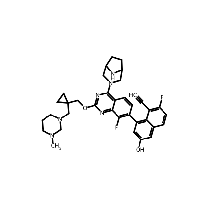 C#Cc1c(F)ccc2cc(O)cc(-c3ccc4c(N5CC6CCC(C5)N6)nc(OCC5(CN6CCCN(C)C6)CC5)nc4c3F)c12